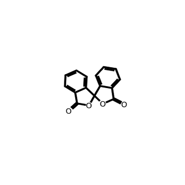 O=C1OC2(OC(=O)c3ccccc32)c2ccccc21